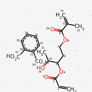 C=CC(=O)OC(CCOC(=O)C(=C)C)C(C)O.O=C(O)c1ccccc1C(=O)O